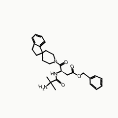 CC(C)(N)C(=O)N[C@H](CC(=O)OCc1ccccc1)C(=O)N1CCC2(CCc3ccccc32)CC1